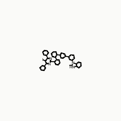 CC1Nc2ccccc2N1c1cccc(-c2ccc(-c3ccccc3-c3ccccc3-c3nc(-c4ccccc4)c(I)c(-c4ccccc4)n3)cc2)c1